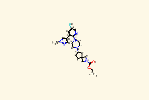 CCOC(=O)N1CC2(CC[C@@H](N3CCN(c4ncc(F)cc4-c4cnn(C)c4)CC3)C2)C1